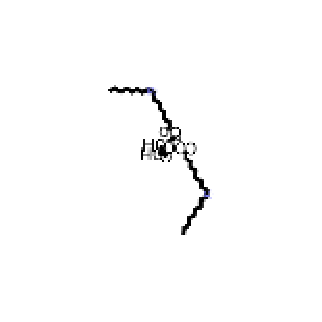 CCCCCCC/C=C\CCCCCCC(=O)O[C@H](COC(=O)CCCCCCC/C=C\CCCCCCCC)COP(=O)(O)O